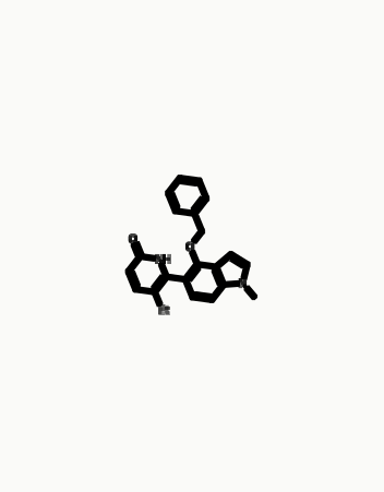 CCc1ccc(=O)[nH]c1-c1ccc2c(ccn2C)c1OCc1ccccc1